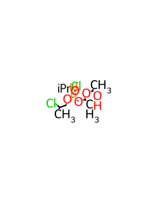 CC(C)Cl.CC(Cl)CO[PH](=O)OC(C)OC(C)O